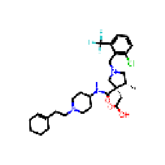 C[C@H]1CN(Cc2c(Cl)cccc2C(F)(F)F)C[C@]1(CC(=O)O)C(=O)NC1CCN(CCC2=CCCCC2)CC1